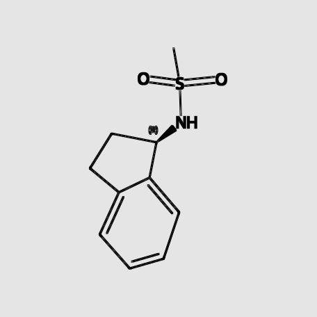 CS(=O)(=O)N[C@@H]1CCc2ccccc21